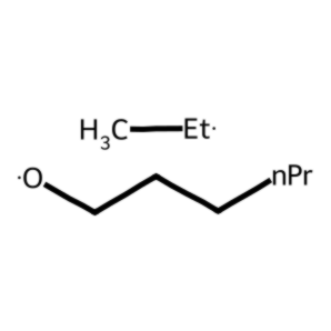 CCCCCC[O].C[CH]C